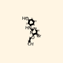 C#CCOc1nc(Nc2cccc(O)c2)ncc1Br